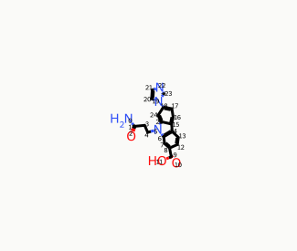 NC(=O)CCn1c2cc(C(=O)O)ccc2c2ccc(-n3ccnc3)cc21